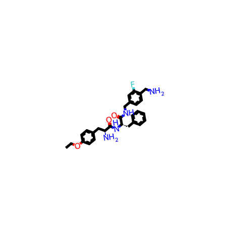 CCOc1ccc(C[C@@H](N)C(=O)N[C@@H](Cc2ccccc2)C(=O)NCc2ccc(CN)c(F)c2)cc1